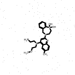 COCCN(CCN)c1cc(N2CCS(O)(O)c3ccccc3C2)nc2ccc(C)cc12